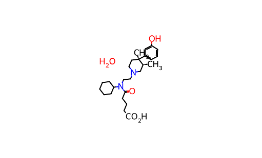 C[C@H]1CN(CCN(C(=O)CCCC(=O)O)C2CCCCC2)CC[C@]1(C)c1cccc(O)c1.O